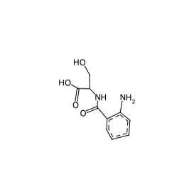 Nc1ccccc1C(=O)NC(CO)C(=O)O